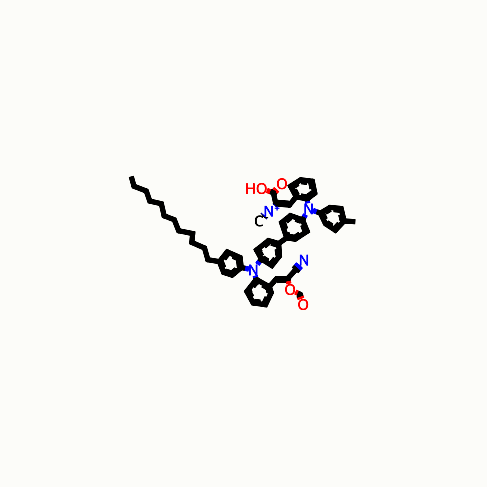 [C-]#[N+]/C(=C/c1ccccc1N(c1ccc(C)cc1)c1ccc(-c2ccc(N(c3ccc(CCCCCCCCCCCC)cc3)c3ccccc3/C=C(/C#N)OC=O)cc2)cc1)C(=O)O